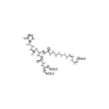 CCCCC/C=C\C/C=C\CCCCCCCC(=O)OCC(COC(=O)CCC(OCCCCCCCC)OCCCCCCCC)CN(C)CCCn1ccnc1C